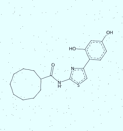 O=C(Nc1nc(-c2ccc(O)cc2O)cs1)C1CCCCCCCC1